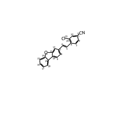 N#Cc1ccc(C=Cc2ccc3c(c2)oc2ccccc23)c(Cl)c1